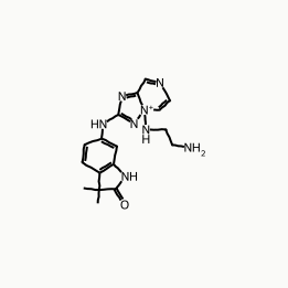 CC1(C)C(=O)Nc2cc(NC3=N[N+]4(NCCN)C=CN=CC4=N3)ccc21